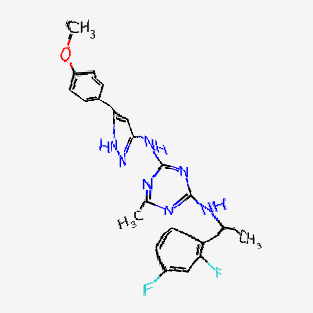 COc1ccc(-c2cc(Nc3nc(C)nc(NC(C)c4ccc(F)cc4F)n3)n[nH]2)cc1